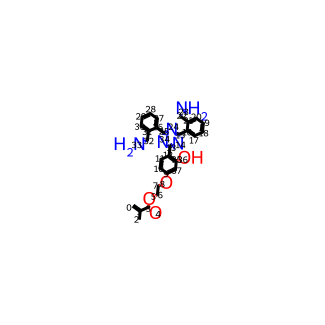 C=C(C)C(=O)OCCOc1ccc(-c2nc(-c3ccccc3CN)nc(-c3ccccc3CN)n2)c(O)c1